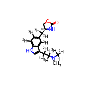 [2H]c1c(C([2H])([2H])[C@H]2COC(=O)N2)c([2H])c2c(C([2H])([2H])C([2H])([2H])N(C)C([2H])([2H])[2H])c[nH]c2c1[2H]